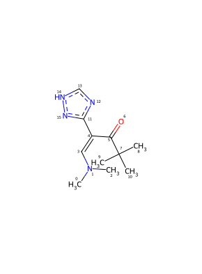 CN(C)C=C(C(=O)C(C)(C)C)c1nc[nH]n1